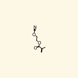 C=C(C)C(=O)OCCOC#N